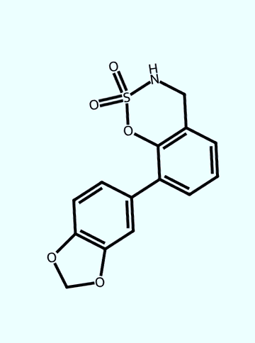 O=S1(=O)NCc2cccc(-c3ccc4c(c3)OCO4)c2O1